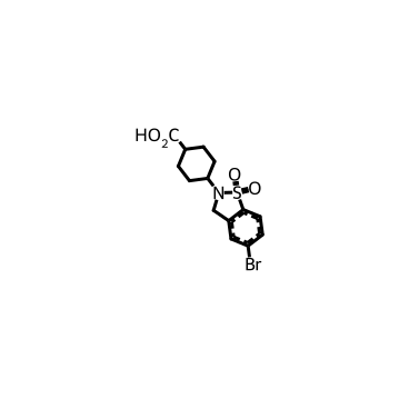 O=C(O)C1CCC(N2Cc3cc(Br)ccc3S2(=O)=O)CC1